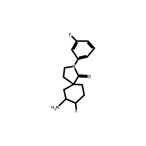 NC1CC2(CCC1F)CCN(c1cccc(F)c1)C2=O